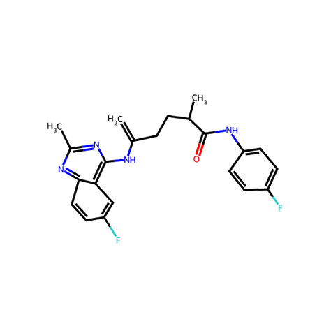 C=C(CCC(C)C(=O)Nc1ccc(F)cc1)Nc1nc(C)nc2ccc(F)cc12